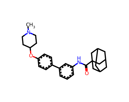 CN1CCC(Oc2ccc(-c3cccc(NC(=O)C45CC6CC(CC(C6)C4)C5)c3)cc2)CC1